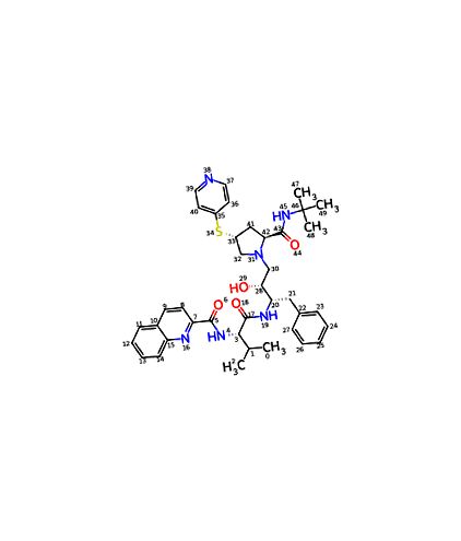 CC(C)[C@H](NC(=O)c1ccc2ccccc2n1)C(=O)N[C@@H](Cc1ccccc1)[C@H](O)CN1C[C@H](Sc2ccncc2)C[C@H]1C(=O)NC(C)(C)C